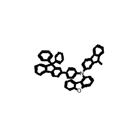 CC1c2ccccc2-c2ccc(N(c3ccc(-c4ccc5c(c4)C(c4ccccc4)(c4ccccc4)c4ccccc4-5)cc3)c3cccc4oc5ccccc5c34)cc21